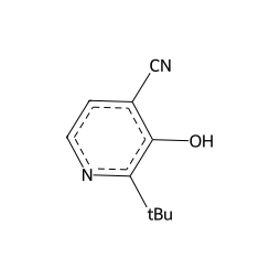 CC(C)(C)c1nccc(C#N)c1O